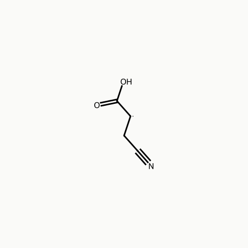 N#CC[CH]C(=O)O